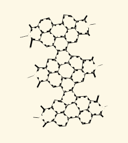 O=c1c2ccc3c4ccc5c(=O)n(Cl)c(=O)c6cc7c8c9cc%10c(=O)n(Cl)c(=O)c%11cc%12c%13c%14cc%15c(=O)n(Cl)c(=O)c%16ccc%17c%18ccc%19c(=O)n(Cl)c(=O)c%20cc(c%13c%13cc%21c(=O)n(Cl)c(=O)c%22cc(c8c8cc(c(=O)n1Cl)c2c3c8c7c4c56)c1c9c(c%10%11)c%12c%13c1c%22%21)c(c%18c%19%20)c%14c%17c%16%15